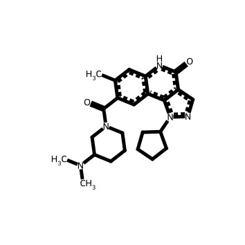 Cc1cc2[nH]c(=O)c3cnn(C4CCCC4)c3c2cc1C(=O)N1CCCC(N(C)C)C1